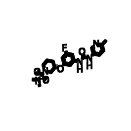 Cc1ccc(NC(=O)Nc2cc(F)cc(O[C@H]3CCCN(S(=O)(=O)N(C)C)C3)c2)cn1